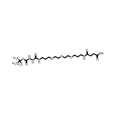 CC(C)(C)OC(=O)NNC(=O)NCCCOCCOCCOCCCNC(=O)CCC(=O)O